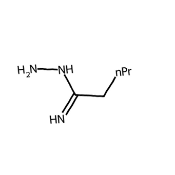 CCCCC(=N)NN